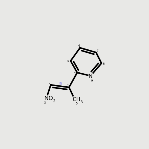 C/C(=C\[N+](=O)[O-])c1ccccn1